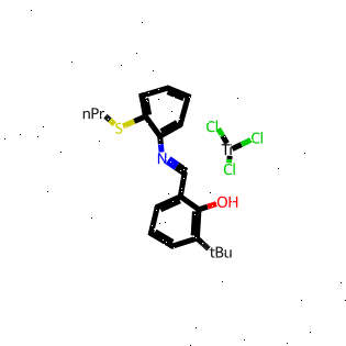 CCCSc1ccccc1N=Cc1cccc(C(C)(C)C)c1O.[Cl][Ti]([Cl])[Cl]